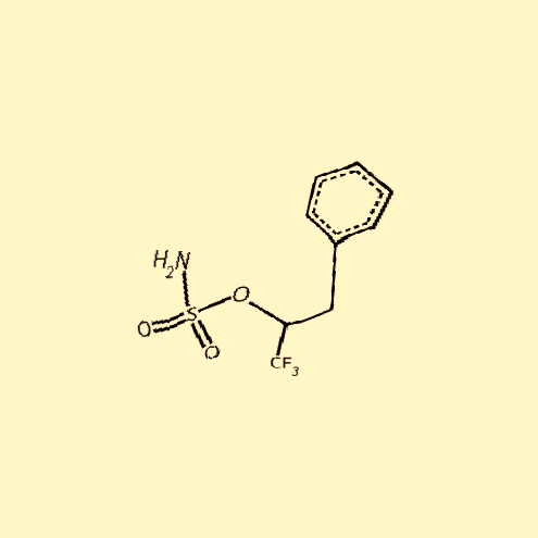 NS(=O)(=O)OC(Cc1ccccc1)C(F)(F)F